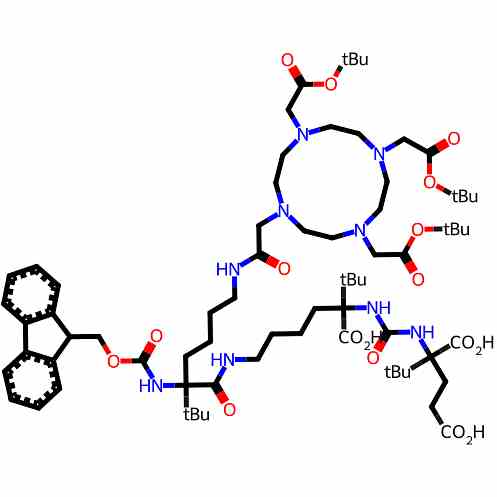 CC(C)(C)OC(=O)CN1CCN(CC(=O)NCCCCC(NC(=O)OCC2c3ccccc3-c3ccccc32)(C(=O)NCCCCC(NC(=O)NC(CCC(=O)O)(C(=O)O)C(C)(C)C)(C(=O)O)C(C)(C)C)C(C)(C)C)CCN(CC(=O)OC(C)(C)C)CCN(CC(=O)OC(C)(C)C)CC1